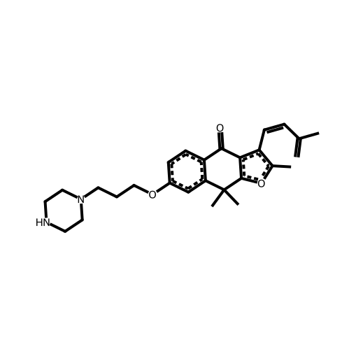 C=C(C)/C=C\c1c(C)oc2c1C(=O)c1ccc(OCCCN3CCNCC3)cc1C2(C)C